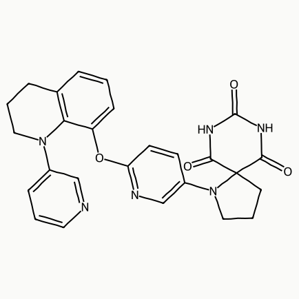 O=C1NC(=O)C2(CCCN2c2ccc(Oc3cccc4c3N(c3cccnc3)CCC4)nc2)C(=O)N1